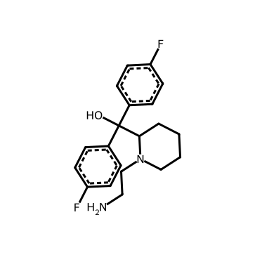 NCCN1CCCCC1C(O)(c1ccc(F)cc1)c1ccc(F)cc1